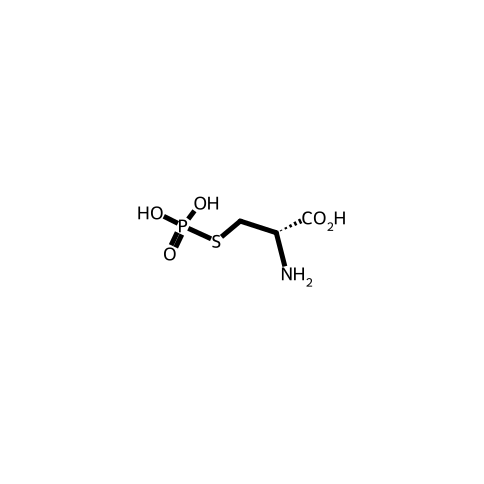 N[C@H](CSP(=O)(O)O)C(=O)O